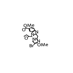 COC(=O)c1ccc2nc(Cc3ncc(Br)c(OC)n3)n(CC3CCO3)c2c1